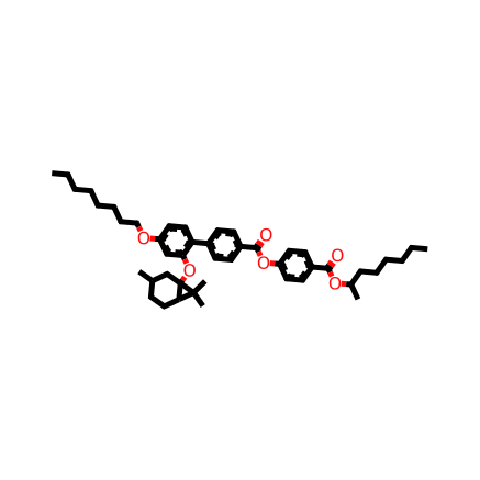 CCCCCCCCOc1ccc(-c2ccc(C(=O)Oc3ccc(C(=O)OC(C)CCCCCC)cc3)cc2)c(OC23CC(C)CCC2C3(C)C)c1